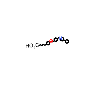 O=C(O)CCC=CCc1ccc(OCc2ccc(CN3CC=C(c4ccccc4)CC3)cc2)cc1